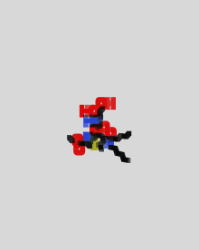 CCCCCCN(C(=O)CCCC)C(CC(OC(=O)NCC(O)CO)c1nc(C(=O)OCC)cs1)C(C)C